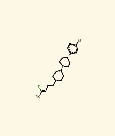 CCc1ccc([C@H]2CC[C@H](C3CCC(CC/C=C(\F)C#N)CC3)CC2)cc1